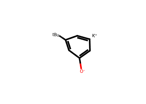 CC(C)(C)c1cccc([O-])c1.[K+]